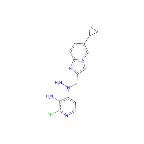 Nc1c(N(N)Cc2cn3cc(C4CC4)ccc3n2)ccnc1Cl